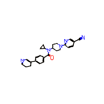 N#Cc1ccc(N2CCC(N(C(=O)c3ccc(C4=CN=CCC4)cc3)C3CC3)CC2)nc1